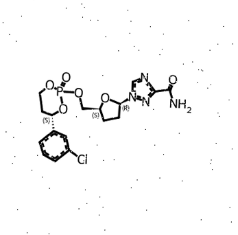 NC(=O)c1ncn([C@H]2CC[C@@H](COP3(=O)OCC[C@@H](c4cccc(Cl)c4)O3)O2)n1